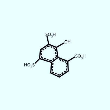 O=S(=O)(O)c1cc(S(=O)(=O)O)c2cccc(S(=O)(=O)O)c2c1O